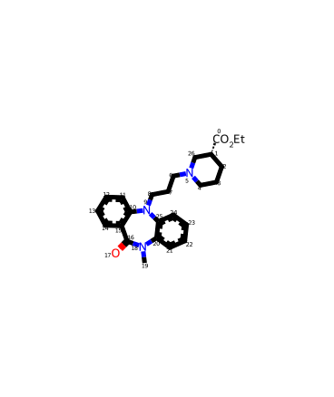 CCOC(=O)[C@@H]1CCCN(CCCN2c3ccccc3C(=O)N(C)c3ccccc32)C1